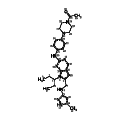 CCC(CC)n1c(CNc2cc(C)[nH]n2)cc2cnc(Nc3ccc(N4CCN(C(C)=O)CC4)cc3)nc21